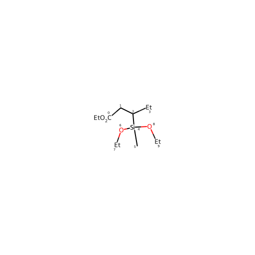 CCOC(=O)CC(CC)[Si](C)(OCC)OCC